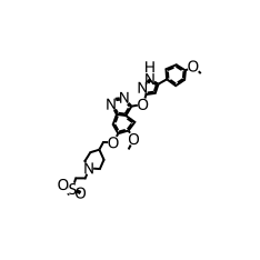 COc1ccc(-c2cc(Oc3ncnc4cc(OCC5CCN(CCS(C)(=O)=O)CC5)c(OC)cc34)n[nH]2)cc1